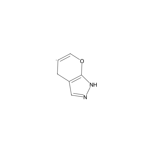 [C]1=COc2[nH]ncc2C1